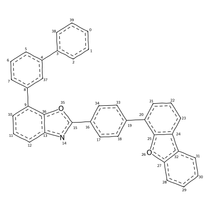 c1ccc(-c2cccc(-c3cccc4nc(-c5ccc(-c6cccc7c6oc6ccccc67)cc5)oc34)c2)cc1